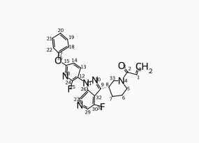 C=CC(=O)N1CCC[C@H](c2nn(-c3ccc(Oc4ccccc4)nc3F)c3cncc(F)c23)C1